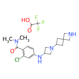 CN(C)C(=O)c1ccc(NC2CN(C3CC4(CNC4)C3)C2)cc1Cl.O=C(O)C(F)(F)F